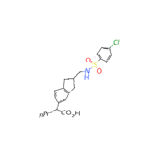 CCCC(C(=O)O)c1ccc2c(c1)CC(CNS(=O)(=O)c1ccc(Cl)cc1)C2